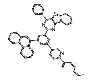 C=C(/C=C\C=C/C)c1ccc(-c2cc(-c3nc(-c4ccccc4)c4sc5ccccc5c4n3)cc(-c3cc4ccccc4c4ccccc34)c2)cn1